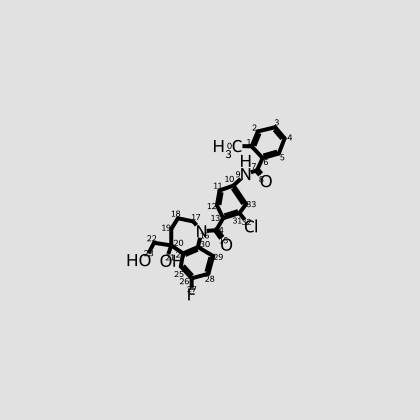 Cc1ccccc1C(=O)Nc1ccc(C(=O)N2CCCC(O)(CO)c3cc(F)ccc32)c(Cl)c1